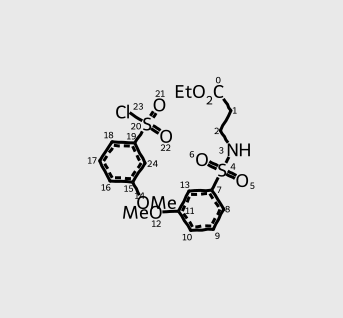 CCOC(=O)CCNS(=O)(=O)c1cccc(OC)c1.COc1cccc(S(=O)(=O)Cl)c1